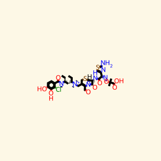 CC[C@@H](C[C@H](CC)[N+](C)(C)CC1=C(C=O)N2C(=O)[C@@H](NC(=O)/C(=N\OC(C)(C)C(=O)O)c3csc(N)n3)[C@H]2SC1)N(C)C(=O)c1ccc(O)c(O)c1Cl